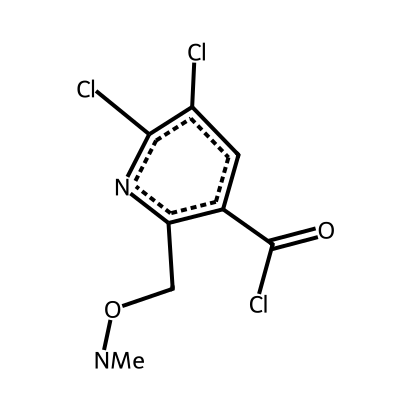 CNOCc1nc(Cl)c(Cl)cc1C(=O)Cl